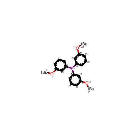 CC(C)(C)Oc1cccc(P(c2cccc(OC(C)(C)C)c2)c2cccc(OC(C)(C)C)c2)c1